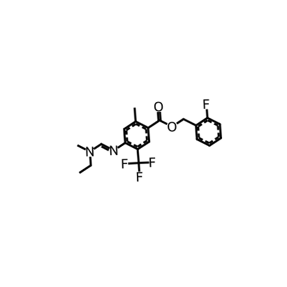 CCN(C)/C=N/c1cc(C)c(C(=O)OCc2ccccc2F)cc1C(F)(F)F